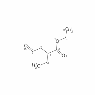 CCOC(=O)C(CC)CC=O